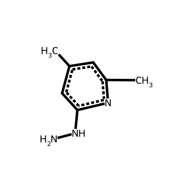 Cc1cc(C)nc(NN)c1